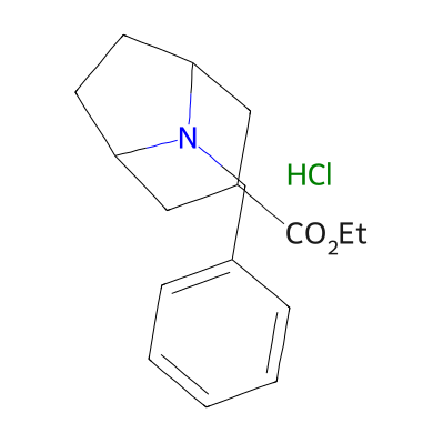 CCOC(=O)C1CC2CCC(C1)N2Cc1ccccc1.Cl